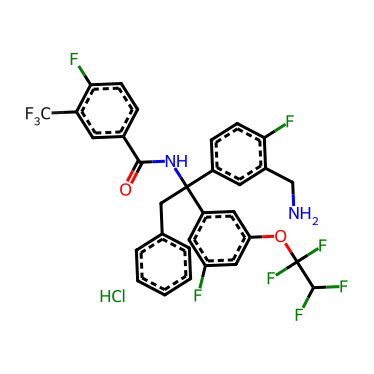 Cl.NCc1cc(C(Cc2ccccc2)(NC(=O)c2ccc(F)c(C(F)(F)F)c2)c2cc(F)cc(OC(F)(F)C(F)F)c2)ccc1F